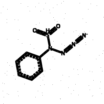 [N-]=[N+]=NN(c1ccccc1)[SH](=O)=O